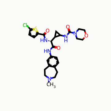 CN1CCc2ccc(NC(=O)[C@H](NC(=O)c3ccc(Cl)s3)C3CC3NC(=O)N3CCOCC3)cc2CC1